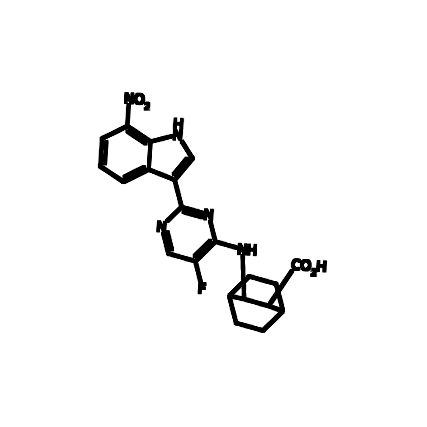 O=C(O)C1C2CCC(CC2)C1Nc1nc(-c2c[nH]c3c([N+](=O)[O-])cccc23)ncc1F